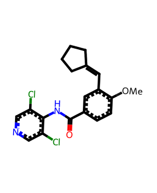 COc1ccc(C(=O)Nc2c(Cl)cncc2Cl)cc1C=C1CCCC1